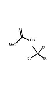 CC[N+](C)(CC)CC.COC(=O)C(=O)[O-]